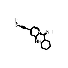 N=C(C1CCCCC1)n1ccc(C#CSI)cc1=N